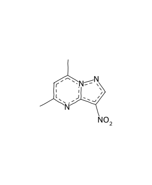 Cc1cc(C)n2ncc([N+](=O)[O-])c2n1